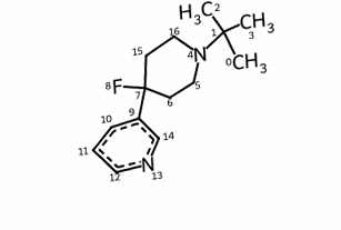 CC(C)(C)N1CCC(F)(c2cccnc2)CC1